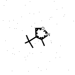 Cc1nocc1C(C)(C)C